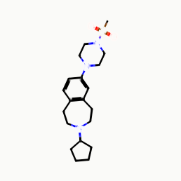 CS(=O)(=O)N1CCN(c2ccc3c(c2)CCN(C2CCCC2)CC3)CC1